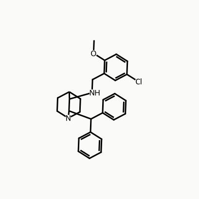 COc1ccc(Cl)cc1CNC1C2CCN(CC2)C1C(c1ccccc1)c1ccccc1